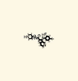 O=C(NOC1CCNCC1)c1sc2ccncc2c1Nc1ccc(I)cc1F